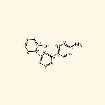 Nc1ccc(-c2cccc3c2oc2ccccc23)nc1